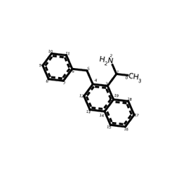 CC(N)c1c(Cc2ccccc2)ccc2ccccc12